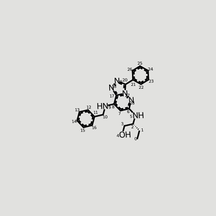 CC[C@H](CO)Nc1cc(NCc2ccccc2)c2nnc(-c3ccccc3)n2n1